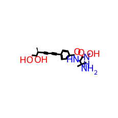 C[C@@H](C#CC#Cc1ccc(C(=O)NC(C(=O)NO)C(C)(C)N)cc1)[C@H](O)CO